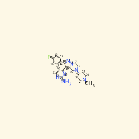 CN1CCC(N2CCn3nc(-c4ccc(F)cc4)c(-c4ccnc(N)n4)c3C2)CC1